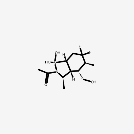 CC(=O)N1[C@H](C)[C@H]2[C@@H](CO)[C@H](C)C(F)(F)C[C@H]2S1(O)O